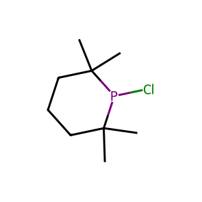 CC1(C)CCCC(C)(C)P1Cl